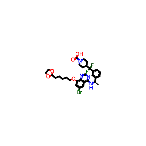 C[C@@H](Nc1ncnc2c(OCCCCCC3OCCO3)cc(Br)cc12)c1cccc(C(F)(F)C2CCN(C(=O)O)CC2)c1